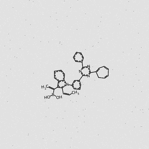 C=C(B(O)O)c1c(/C=C\C)n(-c2cccc(-c3nc(C4=CC=CC=CC4)nc(-c4ccccc4)n3)c2)c2ccccc12